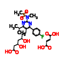 CC(C)c1nc(N(C)S(C)(=O)=O)nc(-c2ccc(F)cc2)c1/C=C/C(O)CC(O)CC(=O)O.O=C(O)/C=C/C(=O)O